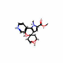 COC(=O)c1cc2c(n1C)-c1ccncc1OC21CCOCC1